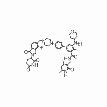 CCN(c1cc(-c2ccc(N3CCN(Cc4ccc5c(c4F)CN(C4CCC(=O)NC4=O)C5=O)CC3)cc2)cc(C(=O)NCc2c(C)cc(C)[nH]c2=O)c1C)C1CCOCC1